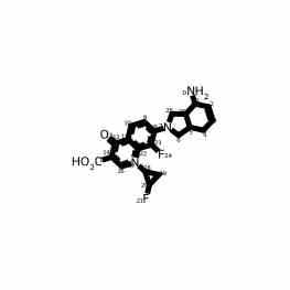 NC1C=CCC2CN(c3ccc4c(=O)c(C(=O)O)cn(C5CC5F)c4c3F)CC12